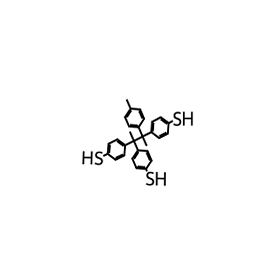 Cc1ccc(C(C)(c2ccc(S)cc2)C(C)(c2ccc(S)cc2)c2ccc(S)cc2)cc1